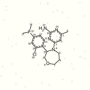 Cc1cc(N2CCCOCC2c2ccc(P(C)C)cc2Cl)nc(N)n1